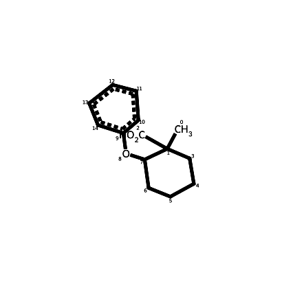 CC1(C(=O)O)CCCCC1Oc1ccccc1